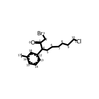 O=C(CBr)C(CCCCCCCl)c1cccc(I)c1